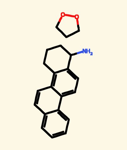 C1COOC1.NC1CCCc2c1ccc1c2ccc2ccccc21